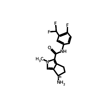 Cn1cc2c(c1C(=O)Nc1ccc(F)c(C(F)F)c1)CC[C@H]2N